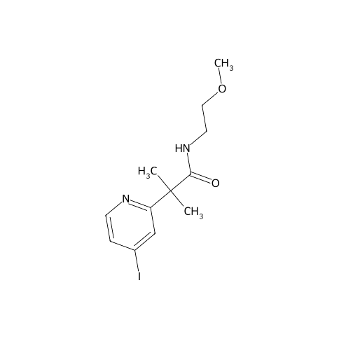 COCCNC(=O)C(C)(C)c1cc(I)ccn1